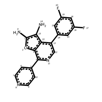 Nc1oc2c(-c3ccncc3)ncc(-c3cc(F)cc(F)c3)c2c1N